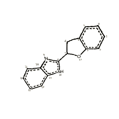 c1ccc2c(c1)CC(c1nc3ccccc3[nH]1)O2